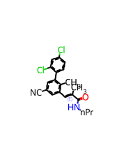 CCCNC(=O)/C(C)=C/c1cc(C#N)cc(-c2ccc(Cl)cc2Cl)c1C